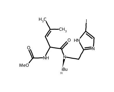 CC[C@H](C)N(Cc1ncc(I)[nH]1)C(=O)C(C=C(C)C)NC(=O)OC